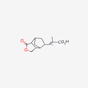 C/C(=C\C1CC2CC1C1COC(=O)C21)C(=O)O